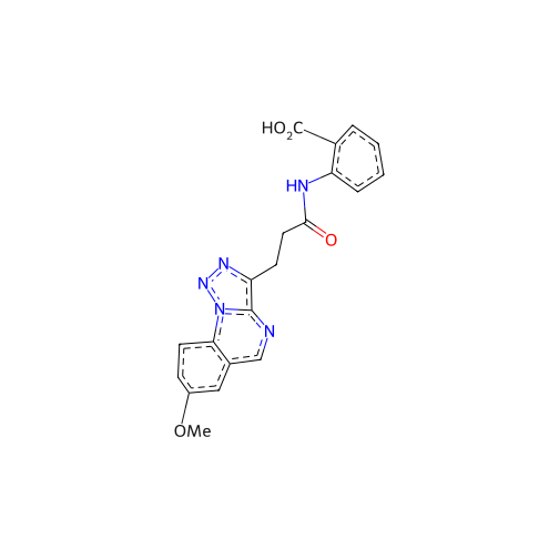 COc1ccc2c(cnc3c(CCC(=O)Nc4ccccc4C(=O)O)nnn32)c1